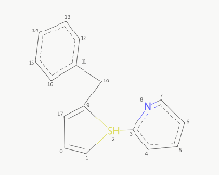 C1=C[SH](c2ccccn2)C(Cc2ccccc2)=C1